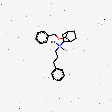 C[N+](C)(CCCc1ccccc1)C1CC2CCC1C2OCc1ccccc1